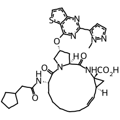 Cn1nccc1-c1nc(O[C@@H]2C[C@H]3C(=O)N[C@]4(C(=O)O)C[C@H]4C=CCCCCC[C@H](NC(=O)CC4CCCC4)C(=O)N3C2)c2sccc2n1